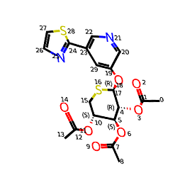 CC(=O)O[C@@H]1[C@@H](OC(C)=O)[C@H](OC(C)=O)CS[C@H]1Oc1cncc(-c2nccs2)c1